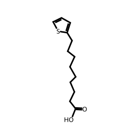 O=C(O)CCCCCCCCc1cccs1